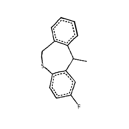 CC1c2ccccc2CSc2ccc(F)cc21